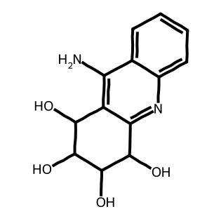 Nc1c2c(nc3ccccc13)C(O)C(O)C(O)C2O